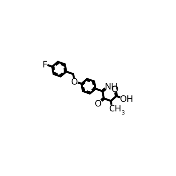 CC(C(=O)O)C(=O)C(=N)c1ccc(OCc2ccc(F)cc2)cc1